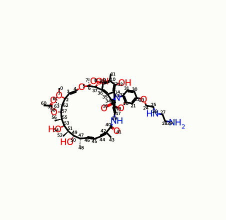 CO[C@H]1/C=C/O[C@@]2(C)Oc3c(C)c(O)c4c(=O)c(c5oc6cc(OCCNCCN)ccc6nc-5c4c3C2O)NC(=O)/C(C)=C\C=C\[C@H](C)[C@H](O)[C@@H](C)[C@@H](O)[C@@H](C)[C@H](OC(C)=O)[C@@H]1C